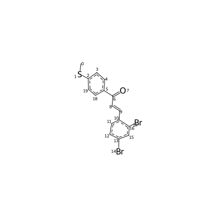 CSc1ccc(C(=O)/C=C/c2ccc(Br)cc2Br)cc1